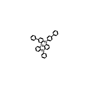 c1ccc(-c2ccc(N3c4ccc(-c5ccccc5)cc4N4c5ccccc5N(c5ccccc5)c5cccc3c54)cc2)cc1